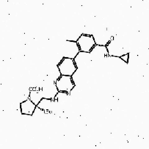 Cc1ccc(C(=O)NC2CC2)cc1-c1ccc2nc(NC[C@]3(C(C)(C)C)CCCN3C(=O)O)ncc2c1